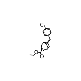 CCOC(=O)N1CC2CCC1CC2=Cc1ccc(Cl)cc1